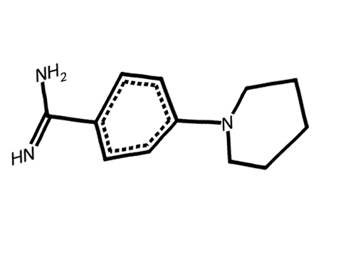 N=C(N)c1ccc(N2CCCCC2)cc1